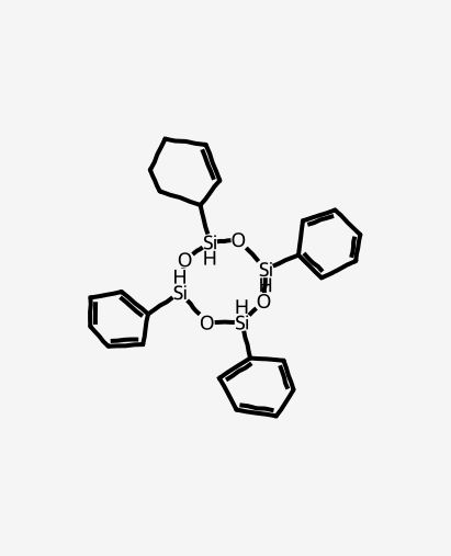 C1=CC([SiH]2O[SiH](c3ccccc3)O[SiH](c3ccccc3)O[SiH](c3ccccc3)O2)CCC1